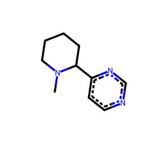 CN1CCCCC1c1ccncn1